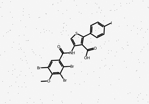 COc1c(Br)cc(C(=O)Nc2csc(-c3ccc(I)cc3)c2C(=O)O)c(Br)c1Br